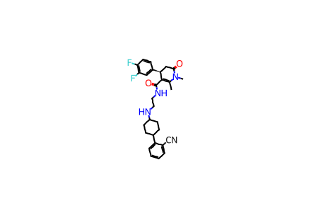 CC1=C(C(=O)NCCNC2CCC(c3ccccc3C#N)CC2)[C@@H](c2ccc(F)c(F)c2)CC(=O)N1C